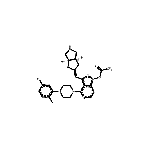 Cc1ccc(Cl)cc1N1CCN(c2ncnc3c2c(C=C2C[C@H]4CNC[C@H]4C2)nn3OC(=O)C(F)(F)F)CC1